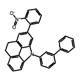 O=[N+]([O-])c1ccccc1-c1cc2c3c4c(cccc4n(-c4cccc(-c5ccccc5)c4)c3c1)CC2